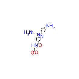 COC(=O)CCNC(=O)c1ccc2c(c1)nc(-c1ccc(CN)cc1)n2CCCN